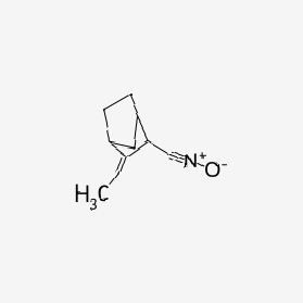 CC=C1C2CCC(C2)C1C#[N+][O-]